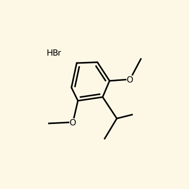 Br.COc1cccc(OC)c1C(C)C